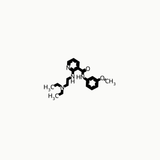 CCN(CC)CCNc1ncccc1C(=O)Nc1cccc(OC)c1